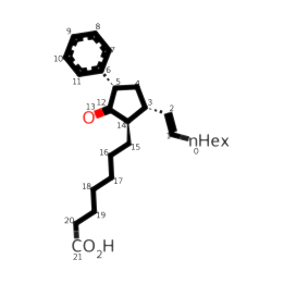 CCCCCCC=C[C@H]1C[C@@H](c2ccccc2)C(=O)[C@@H]1CCCCCCC(=O)O